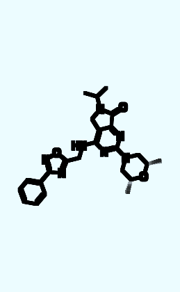 CC(C)N1Cc2c(NCc3nc(-c4ccccc4)no3)nc(N3C[C@@H](C)O[C@@H](C)C3)nc2C1=O